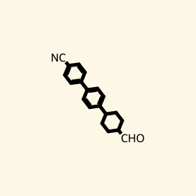 N#Cc1ccc(-c2ccc(C3CCC(C=O)CC3)cc2)cc1